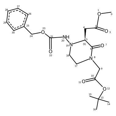 COC(=O)C[C@H]1C(=O)N(CC(=O)OC(C)(C)C)CCN1NC(=O)OCc1ccccc1